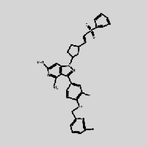 COc1cc2c(c(N)n1)c(-c1ccc(NCc3cccc(F)c3)c(F)c1)nn2C1CCC(/C=C/S(=O)(=O)c2ccccc2)C1